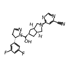 N#Cc1cc(N2C[C@H]3C[C@@H](C(O)N4N=CC[C@H]4c4cc(F)cc(F)c4)C[C@H]3C2)ncn1